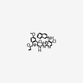 C=CC(=O)Nc1ccc(OC)cc1C1CNC(Nc2ncc(Cl)c(Nc3ccc4ccccc4c3)n2)CO1